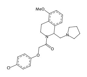 COc1cccc2c1CCN(C(=O)COc1ccc(Cl)cc1)C2CN1CCCC1